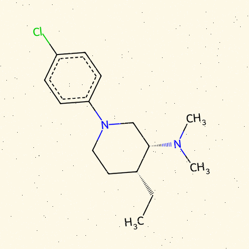 CC[C@@H]1CCN(c2ccc(Cl)cc2)C[C@@H]1N(C)C